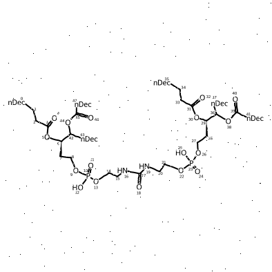 CCCCCCCCCCCCC(=O)O[C@H](CCOP(=O)(O)OCCNC(=O)NCCOP(=O)(O)OCC[C@@H](OC(=O)CCCCCCCCCCCC)C(CCCCCCCCCC)OC(=O)CCCCCCCCCC)C(CCCCCCCCCC)OC(=O)CCCCCCCCCC